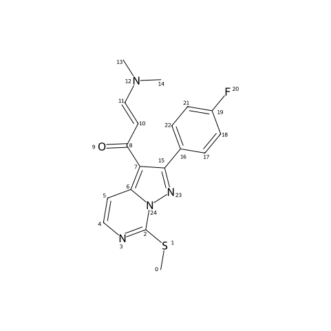 CSc1nccc2c(C(=O)C=CN(C)C)c(-c3ccc(F)cc3)nn12